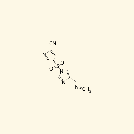 C=NCc1cn(S(=O)(=O)n2cnc(C#N)c2)cn1